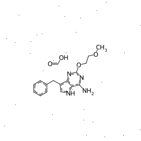 COCCOc1nc(N)c2[nH]cc(Cc3ccccc3)c2n1.O=CO